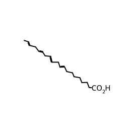 CC=CCC=CCC=CCC=CCCCCCCCC(=O)O